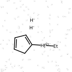 C[CH2][Hf+2][C]1=CC=CC1.[H-].[H-]